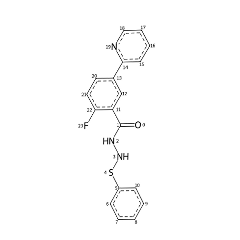 O=C(NNSc1ccccc1)c1cc(-c2ccccn2)ccc1F